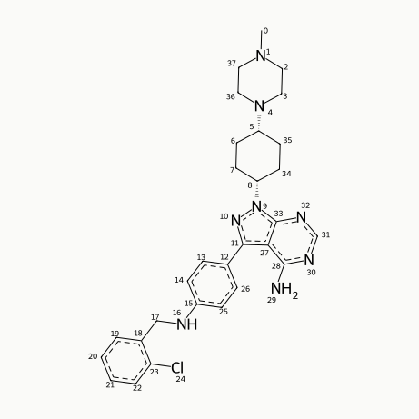 CN1CCN([C@H]2CC[C@@H](n3nc(-c4ccc(NCc5ccccc5Cl)cc4)c4c(N)ncnc43)CC2)CC1